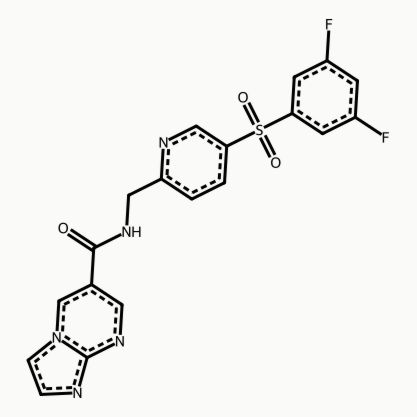 O=C(NCc1ccc(S(=O)(=O)c2cc(F)cc(F)c2)cn1)c1cnc2nccn2c1